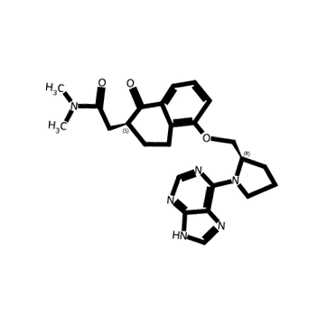 CN(C)C(=O)C[C@@H]1CCc2c(OC[C@H]3CCCN3c3ncnc4[nH]cnc34)cccc2C1=O